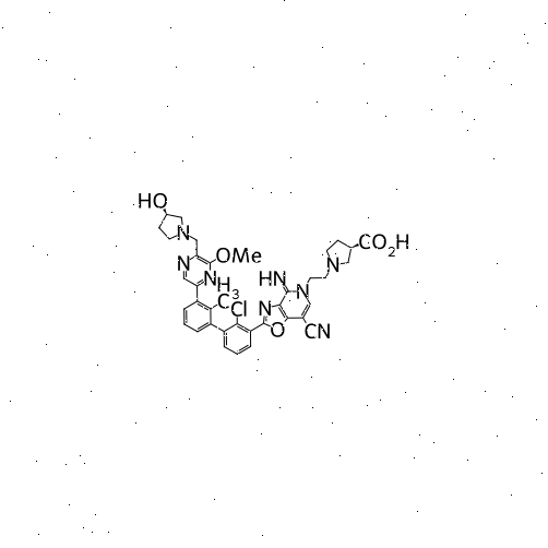 COc1nc(-c2cccc(-c3cccc(-c4nc5c(=N)n(CCN6CC[C@@H](C(=O)O)C6)cc(C#N)c5o4)c3Cl)c2C)cnc1CN1CC[C@@H](O)C1